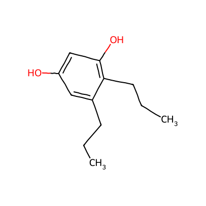 CCCc1cc(O)cc(O)c1CCC